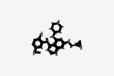 COc1ccc(Cl)c(Nc2ncnc3cc(OC[C@H]4CO4)cc(OC4CCOCC4)c23)c1